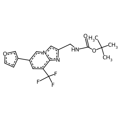 CC(C)(C)OC(=O)NCc1cn2cc(-c3ccoc3)cc(C(F)(F)F)c2n1